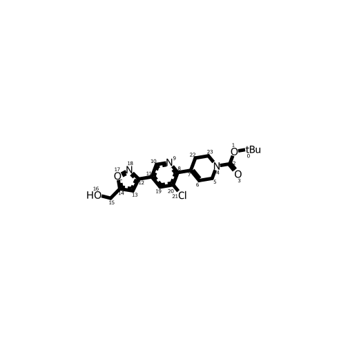 CC(C)(C)OC(=O)N1CC=C(c2ncc(-c3cc(CO)on3)cc2Cl)CC1